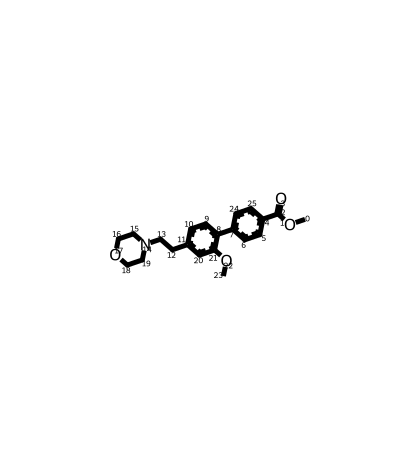 COC(=O)c1ccc(-c2ccc(CCN3CCOCC3)cc2OC)cc1